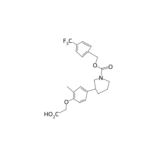 Cc1cc(C2CCCN(C(=O)OCc3ccc(C(F)(F)F)cc3)C2)ccc1OCC(=O)O